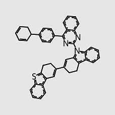 C1=CCC(c2ccc(-c3nc(-n4c5c(c6ccccc64)CCC(C4=Cc6c(sc7ccccc67)CC4)=C5)nc4ccccc34)cc2)C=C1